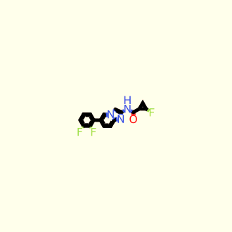 O=C(Nc1cn2cc(-c3cccc(F)c3F)ccc2n1)C1CC1F